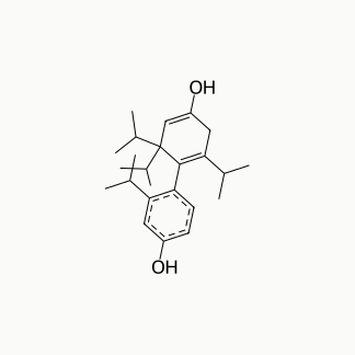 CC(C)C1=C(c2ccc(O)cc2C(C)C)C(C(C)C)(C(C)C)C=C(O)C1